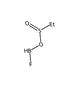 CCS(=O)OBF